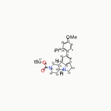 COc1ccc(-c2cc3c4c(c2)[C@@H]2CN(C(=O)OC(C)(C)C)CC[C@@H]2N4CC3)c(C(C)C)c1